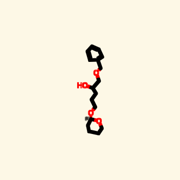 OC(CCCO[C@@H]1CCCCO1)COCc1ccccc1